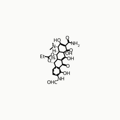 CCC(=O)O[C@H]1[C@H]2C(=C(O)[C@]3(O)C(=O)C(C(N)=O)=C(O)[C@@H](N(C)C)[C@H]13)C(=O)c1c(ccc(NC=O)c1O)[C@@H]2C